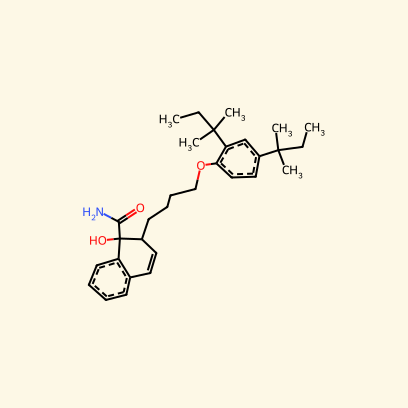 CCC(C)(C)c1ccc(OCCCCC2C=Cc3ccccc3C2(O)C(N)=O)c(C(C)(C)CC)c1